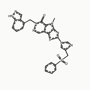 Cn1c2nc(-n3cnc(CS(=O)(=O)c4ccccc4)c3)sc2c2cnn(Cc3cccc4[nH]ncc34)c(=O)c21